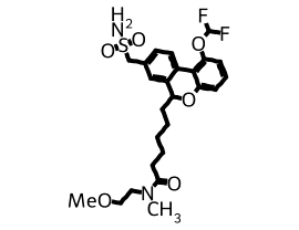 COCCN(C)C(=O)CCCCCC1Oc2cccc(OC(F)F)c2-c2ccc(CS(N)(=O)=O)cc21